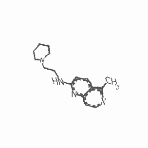 Cc1nccc2nc(NCCN3CCCCC3)ccc12